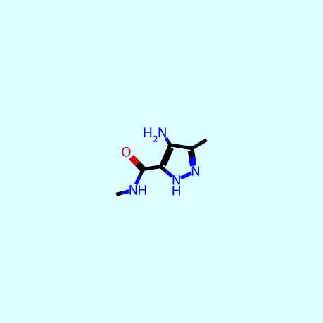 CNC(=O)c1[nH]nc(C)c1N